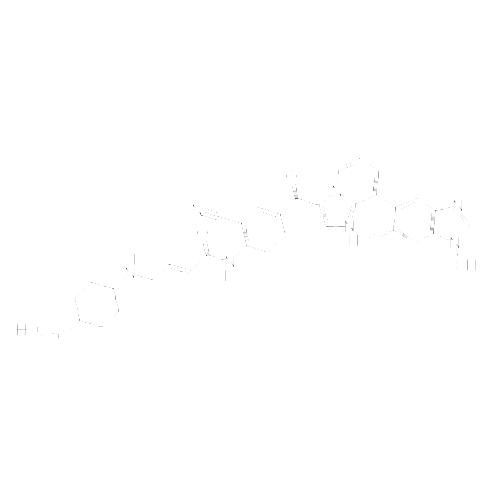 COC1CCC(NC/C=C/C(=O)Nc2ccc(C(=O)c3cnc4c(-c5cc6ncn(C)c6cc5C)cccn34)cc2C#N)CC1